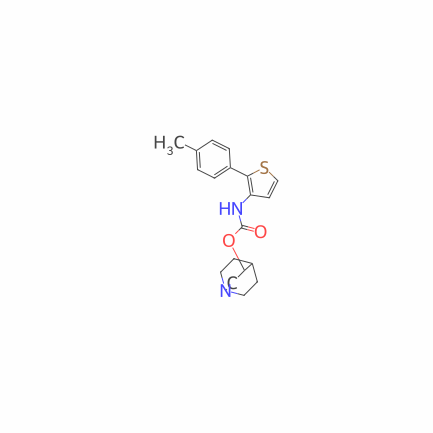 Cc1ccc(-c2sccc2NC(=O)OC2CN3CCC2CC3)cc1